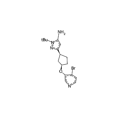 CC(C)(C)n1nc([C@H]2CC[C@@H](Oc3cnccc3Br)C2)cc1N